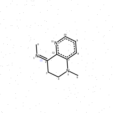 C/N=C1/CCN(C)c2cccnc21